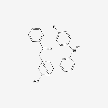 CC(=O)OC1C[N+]2(CC(=O)c3ccccc3)CCC1CC2.Fc1ccc(Nc2ccccc2)cc1.[Br-]